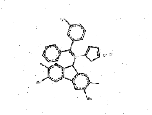 Cc1cc2c(cc1C(C)(C)C)-c1cc(C(C)(C)C)c(C)cc1[CH]2/[Zr+2]([C]1=CC=CC1)=[C](\c1ccccc1)c1cccc(C(F)(F)F)c1.[Cl-].[Cl-]